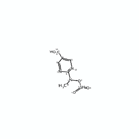 CN(O[SH](=O)=O)c1ncc(C(=O)O)cn1